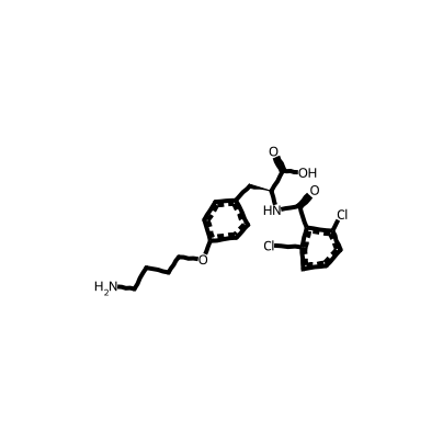 NCCCCOc1ccc(C[C@H](NC(=O)c2c(Cl)cccc2Cl)C(=O)O)cc1